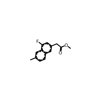 COC(=O)Cc1cc(F)c2cc(C)ccc2c1